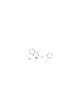 CCCC(=Nn1c(=O)c(C2=NS(=O)(=O)c3ccccc3N2)c(O)c2ccccc21)C(C)C